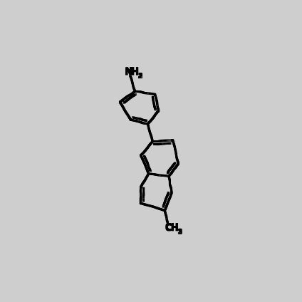 Cc1ccc2cc(-c3ccc(N)cc3)ccc2c1